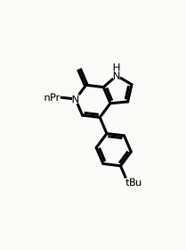 C=C1c2[nH]ccc2C(c2ccc(C(C)(C)C)cc2)=CN1CCC